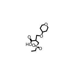 CCS(=O)(=O)CC(COC1CCOCC1)C(=O)O